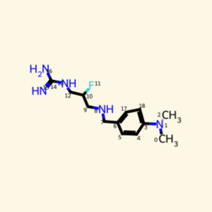 CN(C)c1ccc(CNCC(F)CNC(=N)N)cc1